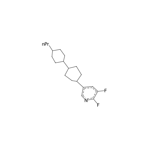 CCCC1CCC(C2CCC(c3cnc(F)c(F)c3)CC2)CC1